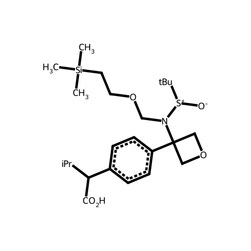 CC(C)C(C(=O)O)c1ccc(C2(N(COCC[Si](C)(C)C)[S+]([O-])C(C)(C)C)COC2)cc1